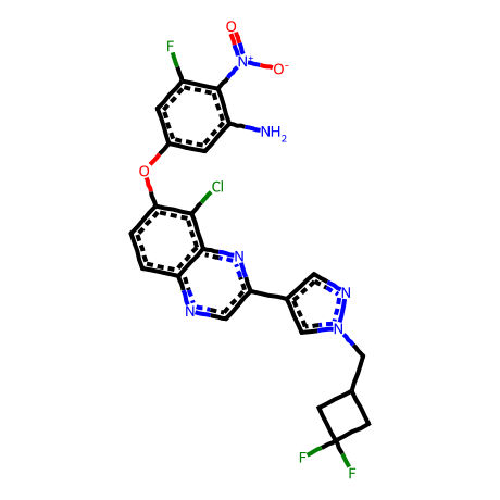 Nc1cc(Oc2ccc3ncc(-c4cnn(CC5CC(F)(F)C5)c4)nc3c2Cl)cc(F)c1[N+](=O)[O-]